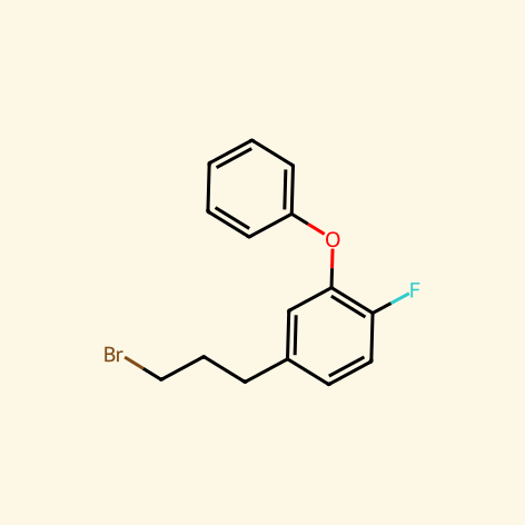 Fc1ccc(CCCBr)cc1Oc1ccccc1